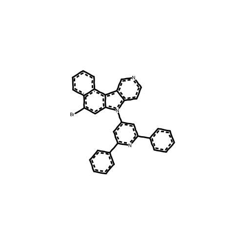 Brc1cc2c(c3ccccc13)c1cnccc1n2-c1cc(-c2ccccc2)nc(-c2ccccc2)c1